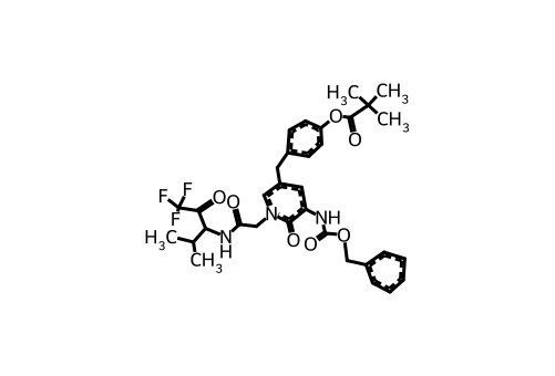 CC(C)C(NC(=O)Cn1cc(Cc2ccc(OC(=O)C(C)(C)C)cc2)cc(NC(=O)OCc2ccccc2)c1=O)C(=O)C(F)(F)F